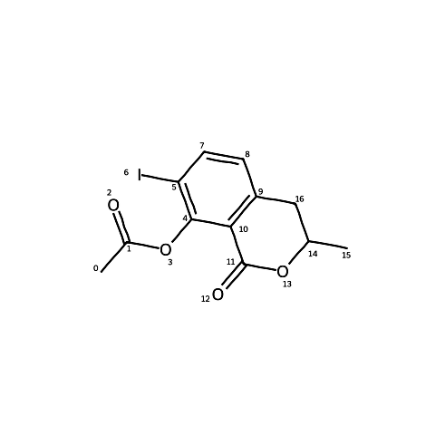 CC(=O)Oc1c(I)ccc2c1C(=O)OC(C)C2